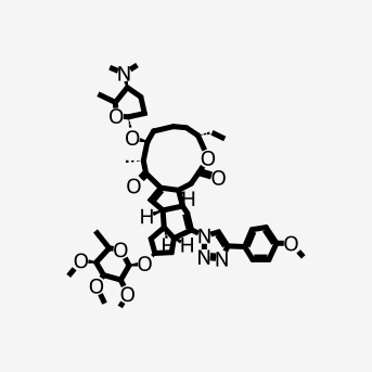 CC[C@H]1CCC[C@H](O[C@H]2CC[C@H](N(C)C)C(C)O2)[C@@H](C)C(=O)C2=C[C@@H]3C(C=C(n4cc(-c5ccc(OC)cc5)nn4)[C@@H]4C[C@@H](O[C@@H]5OC(C)[C@H](OC)C(OC)C5OC)C[C@@H]34)[C@@H]2CC(=O)O1